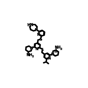 CC(C)c1cc(CSc2cc(CSc3cccc(N4CCCNCC4)n3)cc(N3CCCC(N)C3)n2)cc(N2CCC[C@@H](N)C2)n1